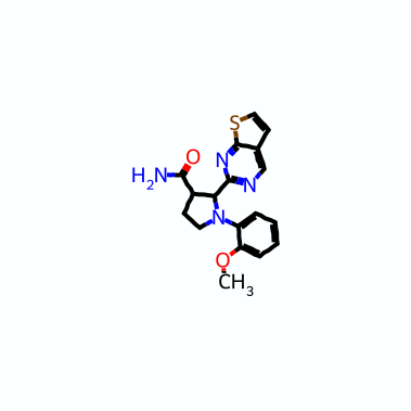 COc1ccccc1N1CCC(C(N)=O)C1c1ncc2ccsc2n1